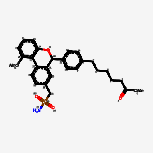 COC(=O)CCCCCc1ccc(C2Oc3cccc(OC)c3-c3ccc(CS(N)(=O)=O)cc32)cc1